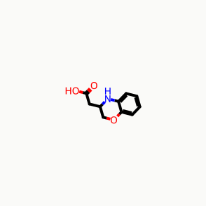 O=C(O)CC1COc2ccccc2N1